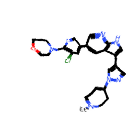 CCN1CCC(n2cc(-c3c[nH]c4ncc(-c5cnc(N6CCOCC6)c(Cl)c5)cc34)cn2)CC1